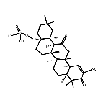 [C-]#[N+]C1=C[C@]2(C)[C@H]3CC(=O)[C@@H]4[C@@H]5CC(C)(C)CC[C@]5(COP(=O)(O)O)CC[C@@]4(C)[C@]3(C)CC[C@H]2C(C)(C)C1=O